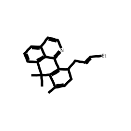 CCC=CCC1CC=C(C)C2=C1c1nccc3cccc(c13)C2(C)C